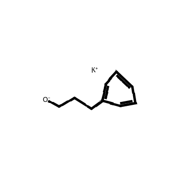 [K+].[O-]CCCc1ccccc1